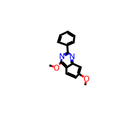 COc1ccc2c(OC)nc(-c3ccccc3)nc2c1